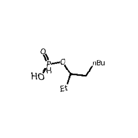 CCCCCC(CC)O[PH](=O)O